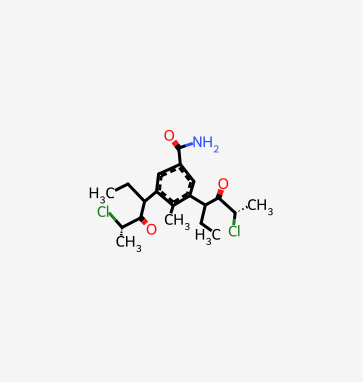 CCC(C(=O)[C@H](C)Cl)c1cc(C(N)=O)cc(C(CC)C(=O)[C@H](C)Cl)c1C